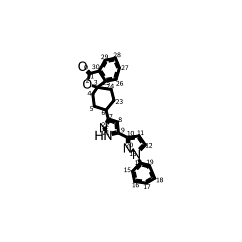 O=C1OC2(CCC(c3cc(-c4ccn(-c5ccccc5)n4)[nH]n3)CC2)c2ccccc21